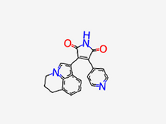 O=C1NC(=O)C(c2cn3c4c(cccc24)CCC3)=C1c1ccncc1